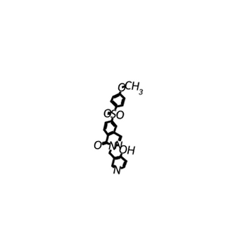 COc1ccc(S(=O)(=O)c2ccc3c(=O)n(Cc4cnccc4O)ncc3c2)cc1